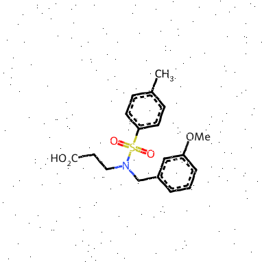 COc1cccc(CN(CCC(=O)O)S(=O)(=O)c2ccc(C)cc2)c1